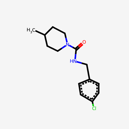 CC1CCN(C(=O)NCc2ccc(Cl)cc2)CC1